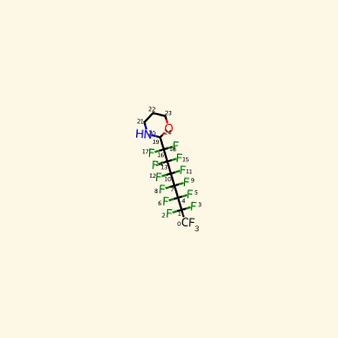 FC(F)(F)C(F)(F)C(F)(F)C(F)(F)C(F)(F)C(F)(F)C(F)(F)C1NCCCO1